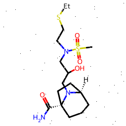 CCSCCN(CC(O)CN1[C@@H]2C[CH]C[C@@]1(C(N)=O)CC2)S(C)(=O)=O